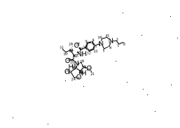 CCCN1CCN(c2ccc(C(=O)N[C@H](C(=O)N3C[C@@H](OC)[C@H]4OCC(=O)[C@H]43)[C@@H](C)CC)cc2)CC1